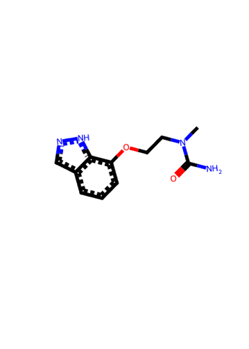 CN(CCOc1cccc2cn[nH]c12)C(N)=O